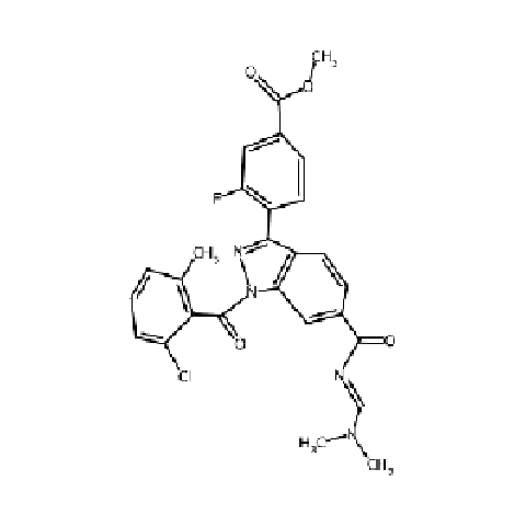 COC(=O)c1ccc(-c2nn(C(=O)c3c(C)cccc3Cl)c3cc(C(=O)/N=C/N(C)C)ccc23)c(F)c1